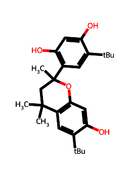 CC(C)(C)c1cc2c(cc1O)OC(C)(c1cc(C(C)(C)C)c(O)cc1O)CC2(C)C